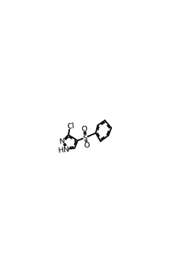 O=S(=O)(c1ccccc1)c1c[nH]nc1Cl